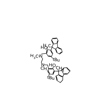 CN(CCN(C)Cc1cc(C(C)(C)C)cc(C2(C)c3ccccc3-c3ccccc32)c1O)Cc1cc(C(C)(C)C)cc(C2(C)C3=C(CCC=C3)c3ccccc32)c1O